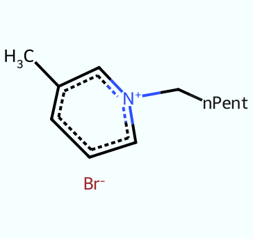 CCCCCC[n+]1cccc(C)c1.[Br-]